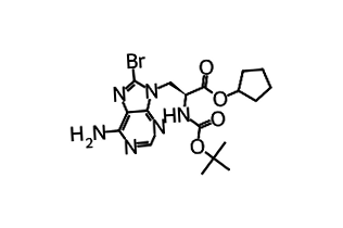 CC(C)(C)OC(=O)N[C@@H](Cn1c(Br)nc2c(N)ncnc21)C(=O)OC1CCCC1